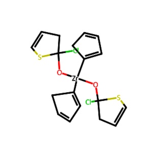 ClC1([O][Zr]([O]C2(Cl)CC=CS2)([C]2=CC=CC2)[C]2=CC=CC2)CC=CS1